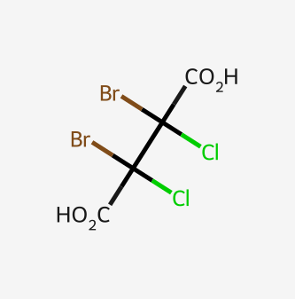 O=C(O)C(Cl)(Br)C(Cl)(Br)C(=O)O